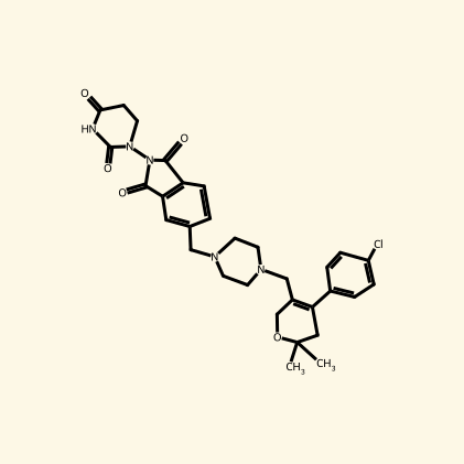 CC1(C)CC(c2ccc(Cl)cc2)=C(CN2CCN(Cc3ccc4c(c3)C(=O)N(N3CCC(=O)NC3=O)C4=O)CC2)CO1